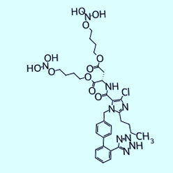 CCCCc1nc(Cl)c(C(=O)N[C@@H](CC(=O)OCCCCON(O)O)C(=O)OCCCCON(O)O)n1Cc1ccc(-c2ccccc2-c2nn[nH]n2)cc1